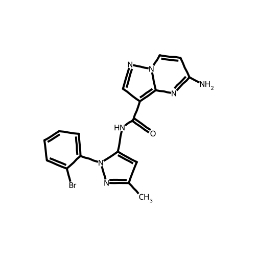 Cc1cc(NC(=O)c2cnn3ccc(N)nc23)n(-c2ccccc2Br)n1